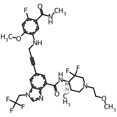 CNC(=O)c1cc(NCC#Cc2cc(C(=O)N[C@@H]3[C@@H](C)CN(CCOC)CC3(F)F)c3ncn(CC(F)(F)F)c3c2)c(OC)cc1F